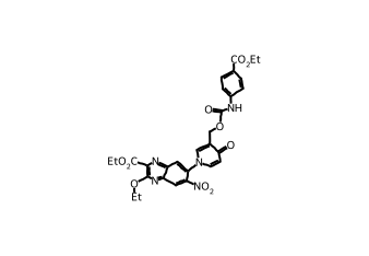 CCOC(=O)c1ccc(NC(=O)OCc2cn(-c3cc4nc(C(=O)OCC)c(OCC)nc4cc3[N+](=O)[O-])ccc2=O)cc1